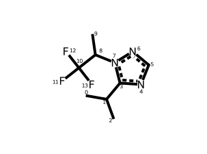 CC(C)c1ncnn1C(C)C(F)(F)F